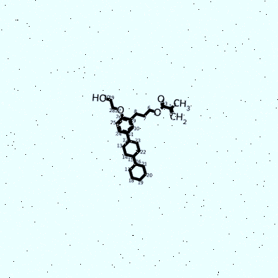 C=C(C)C(=O)OCCCc1cc(C2CCC(C3CCCCC3)CC2)ccc1OCCO